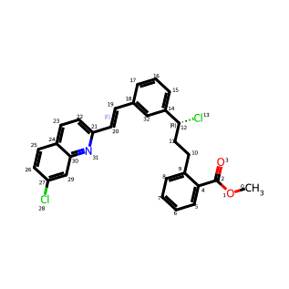 COC(=O)c1ccccc1CC[C@@H](Cl)c1cccc(/C=C/c2ccc3ccc(Cl)cc3n2)c1